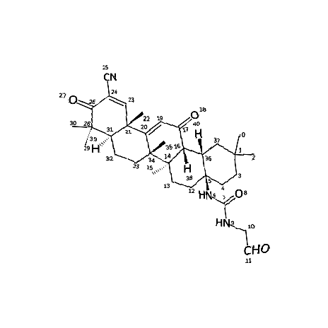 CC1(C)CC[C@]2(NC(=O)NCC=O)CC[C@]3(C)[C@H](C(=O)C=C4[C@@]5(C)C=C(C#N)C(=O)C(C)(C)[C@@H]5CC[C@]43C)[C@@H]2C1